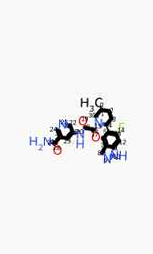 C[C@@H]1CC[C@@H](c2cc3cn[nH]c3cc2F)N(C(=O)C(=O)Nc2cncc(C(N)=O)c2)C1